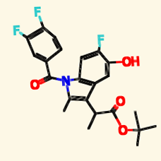 Cc1c(C(C)C(=O)OC(C)(C)C)c2cc(O)c(F)cc2n1C(=O)c1ccc(F)c(F)c1